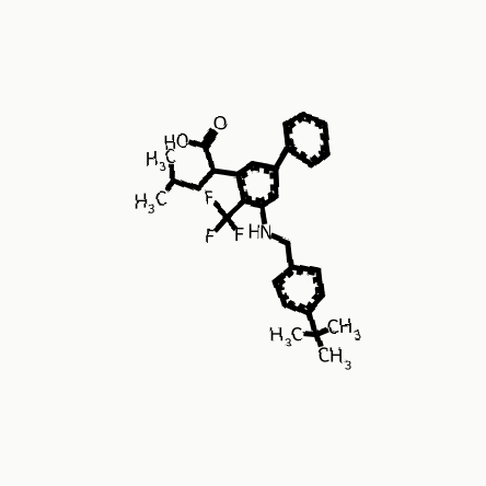 CC(C)CC(C(=O)O)c1cc(-c2ccccc2)cc(NCc2ccc(C(C)(C)C)cc2)c1C(F)(F)F